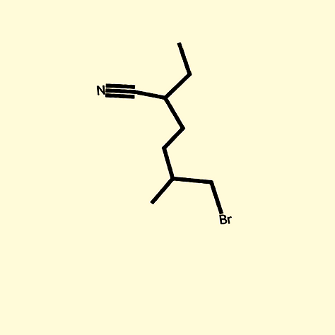 CCC(C#N)CCC(C)CBr